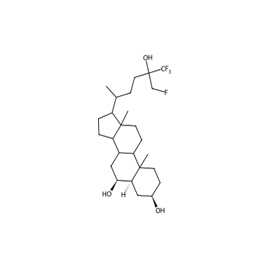 CC(CCC(O)(CF)C(F)(F)F)C1CCC2C3C[C@H](O)[C@@H]4C[C@H](O)CCC4(C)C3CCC12C